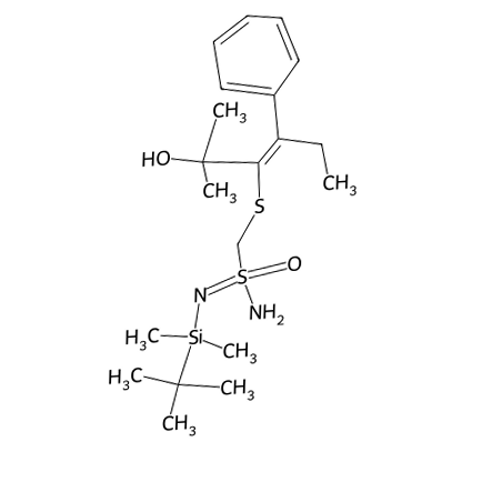 CC/C(=C(\SCS(N)(=O)=N[Si](C)(C)C(C)(C)C)C(C)(C)O)c1ccccc1